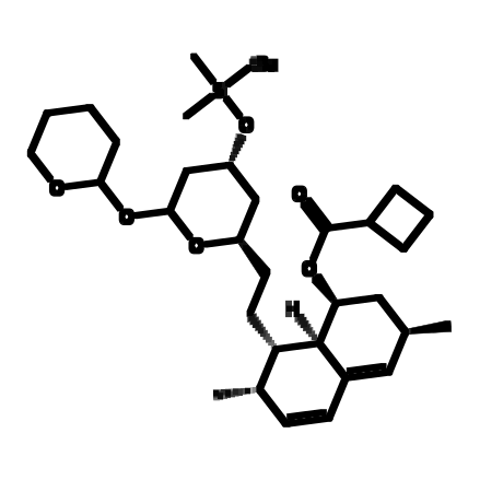 C[C@H]1C=C2C=C[C@H](C)[C@H](CC[C@@H]3C[C@@H](O[Si](C)(C)C(C)(C)C)CC(OC4CCCCO4)O3)[C@H]2[C@@H](OC(=O)C2CCC2)C1